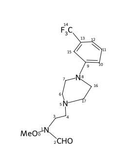 CON(C=O)CCN1CCN(c2cccc(C(F)(F)F)c2)CC1